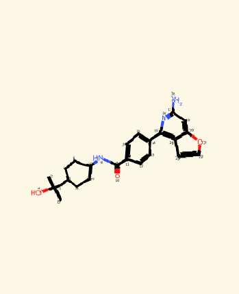 CC(C)(O)C1CCC(NC(=O)c2ccc(-c3nc(N)cc4occc34)cc2)CC1